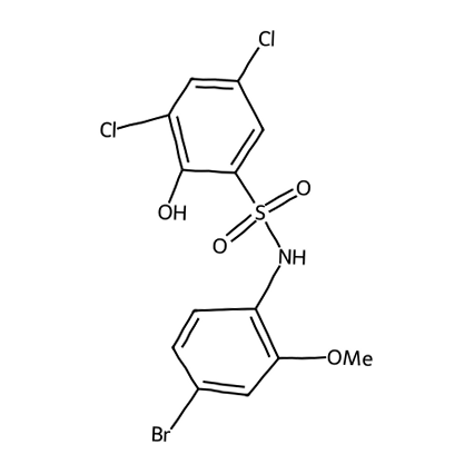 COc1cc(Br)ccc1NS(=O)(=O)c1cc(Cl)cc(Cl)c1O